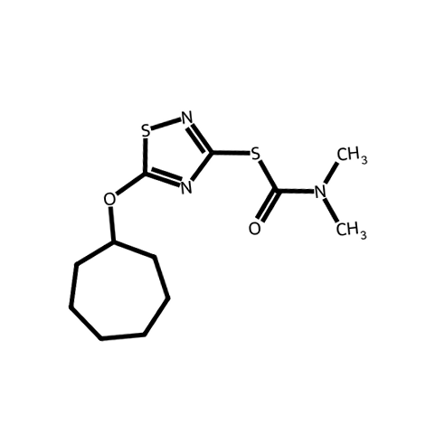 CN(C)C(=O)Sc1nsc(OC2CCCCCC2)n1